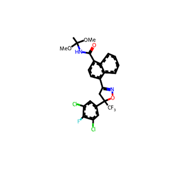 COC(C)(NC(=O)c1ccc(C2=NOC(c3cc(Cl)c(F)c(Cl)c3)(C(F)(F)F)C2)c2ccccc12)OC